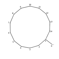 [CH2]C1CCCCCCCCCCCCC1